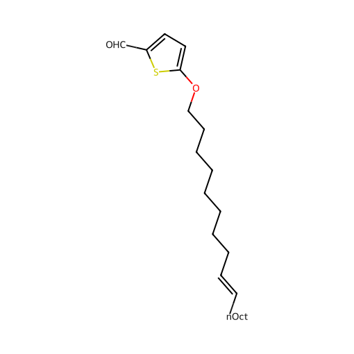 CCCCCCCC/C=C/CCCCCCCCOc1ccc(C=O)s1